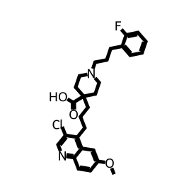 COc1ccc2ncc(Cl)c(CCCC3(C(=O)O)CCN(CCCc4ccccc4F)CC3)c2c1